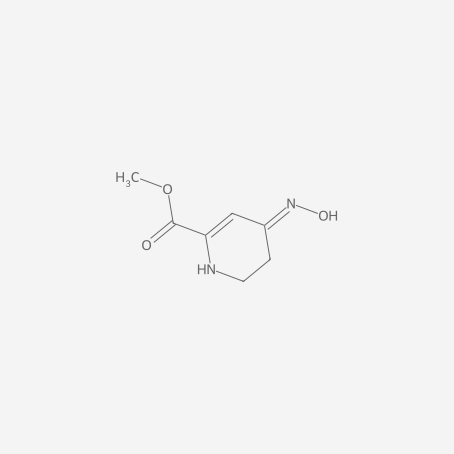 COC(=O)C1=C/C(=N/O)CCN1